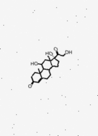 CC12CCC(=O)C=C1CCC1C2C(O)CC2(C)C1CC[C@]2(O)C(=O)CO